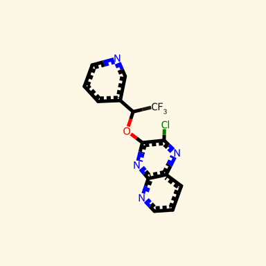 FC(F)(F)C(Oc1nc2ncccc2nc1Cl)c1cccnc1